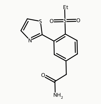 CCS(=O)(=O)c1ccc(CC(N)=O)cc1-c1nccs1